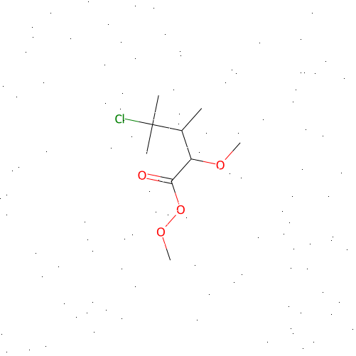 COOC(=O)C(OC)C(C)C(C)(C)Cl